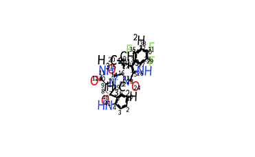 [2H]c1ccc2c(c1)[C@@]1(C[C@@H](C(N)=O)N(C(=O)[C@H](CC(C)C)N(C)C(=O)c3[nH]c4c(F)c(F)c([2H])c(F)c4c3[2H])C1)ON2